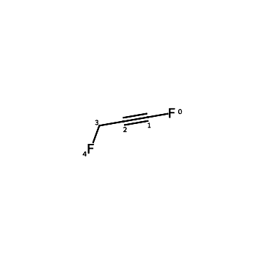 FC#CCF